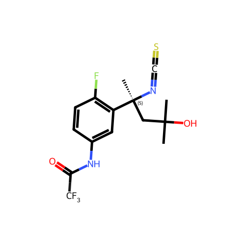 CC(C)(O)C[C@](C)(N=C=S)c1cc(NC(=O)C(F)(F)F)ccc1F